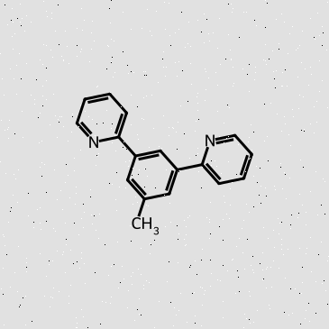 Cc1cc(-c2ccccn2)cc(-c2ccccn2)c1